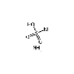 N.O=[S](=O)(O)[Ni]